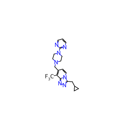 FC(F)(F)c1c(CN2CCN(c3ncccn3)CC2)ccn2c(CC3CC3)nnc12